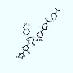 Cc1cc(C(=O)NC2CCC(N(C)C)CC2)ccc1-c1ccc(C[C@H](NC(=O)[C@H]2CC[C@H](CN)CC2)C(=O)Nc2ccc(-c3nn[nH]n3)c(F)c2)cc1.Cl